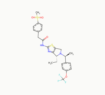 CC[C@@H]1c2nc(NC(=O)Cc3ccc(S(C)(=O)=O)cc3)sc2CN1[C@@H](C)c1ccc(OC(F)(F)F)cc1